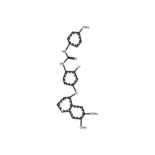 COc1ccc(NC(=O)Nc2ccc(Oc3ccnc4cc(OC)c(OC)cc34)cc2Cl)cc1